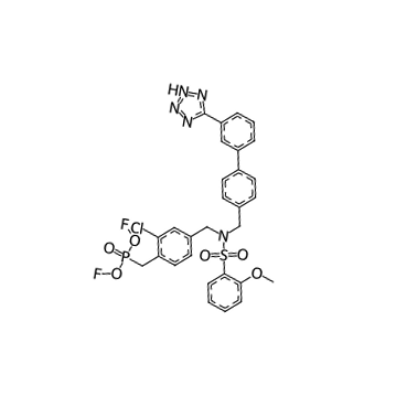 COc1ccccc1S(=O)(=O)N(Cc1ccc(-c2cccc(-c3nn[nH]n3)c2)cc1)Cc1ccc(CP(=O)(OF)OF)c(Cl)c1